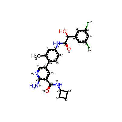 Cc1cc(NC(=O)C(O)c2cc(F)cc(F)c2)ccc1-c1cnc(N)c(C(=O)NC2CCC2)c1